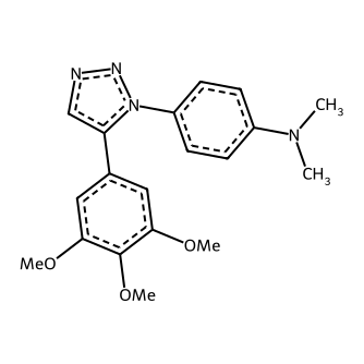 COc1cc(-c2cnnn2-c2ccc(N(C)C)cc2)cc(OC)c1OC